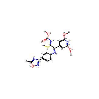 COC(=O)/N=C(SC)/C(=N\c1ccc(-c2noc(C)n2)cc1)c1cc(OC)nc(OC)c1